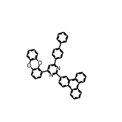 c1ccc(-c2ccc(-c3cc(-c4cccc5c4Oc4ccccc4O5)nc(-c4ccc5c6ccccc6c6ccccc6c5c4)n3)cc2)cc1